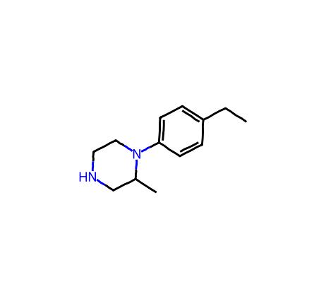 CCc1ccc(N2CCNCC2C)cc1